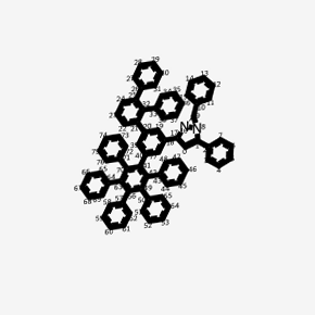 C1=C(c2ccccc2)N2C(c3ccccc3)[N@@]2C1c1cc(-c2cccc(-c3ccccc3)c2-c2ccccc2)cc(-c2c(-c3ccccc3)c(-c3ccccc3)c(-c3ccccc3)c(-c3ccccc3)c2-c2ccccc2)c1